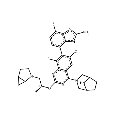 C[C@@H](CN1CCC2CC21)Oc1nc(N2CC3CCC(C2)N3)c2cc(Cl)c(-c3ccc(F)c4sc(N)nc34)c(F)c2n1